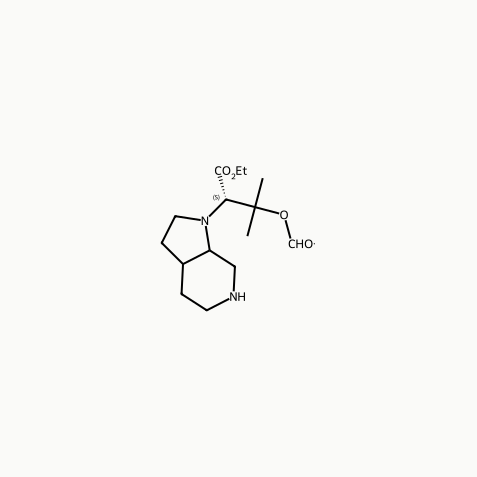 CCOC(=O)[C@@H](N1CCC2CCNCC21)C(C)(C)O[C]=O